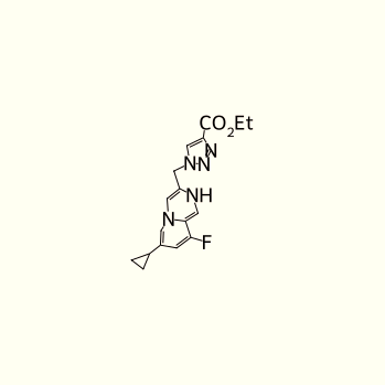 CCOC(=O)c1cn(CC2=CN3C=C(C4CC4)C=C(F)C3=CN2)nn1